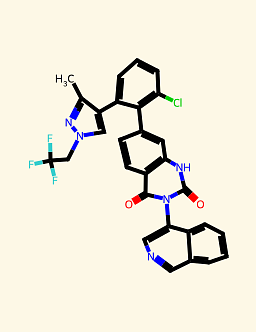 Cc1nn(CC(F)(F)F)cc1-c1cccc(Cl)c1-c1ccc2c(=O)n(-c3cncc4ccccc34)c(=O)[nH]c2c1